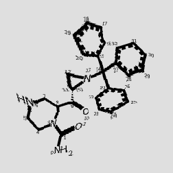 NC(=O)N1CCNCC1C(=O)[C@@H]1CN1C(c1ccccc1)(c1ccccc1)c1ccccc1